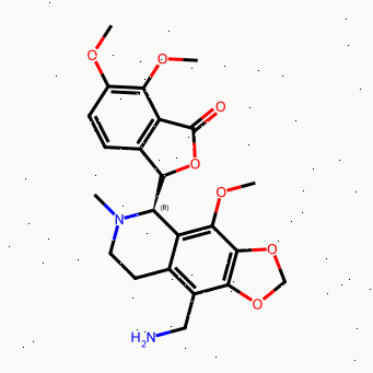 COc1ccc2c(c1OC)C(=O)OC2[C@H]1c2c(c(CN)c3c(c2OC)OCO3)CCN1C